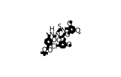 COc1cc(OC)c(CN2C[C@@H](Cc3cc(Cl)ccc3OC)C(=O)N(C(=O)N[C@H](C)c3ccc(C(=O)OC(C)(C)C)cc3)CC2=S)c(OC)c1